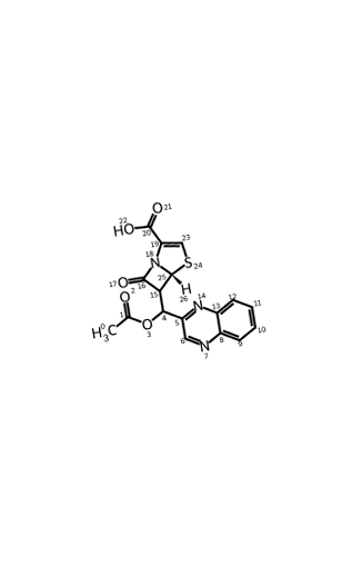 CC(=O)OC(c1cnc2ccccc2n1)C1C(=O)N2C(C(=O)O)=CS[C@H]12